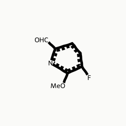 COc1nc(C=O)ccc1F